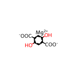 O=C([O-])c1cc(O)c(C(=O)[O-])cc1O.[Mg+2]